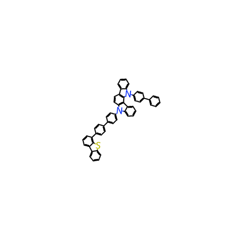 c1ccc(-c2ccc(-n3c4ccccc4c4ccc5c(c6ccccc6n5-c5ccc(-c6ccc(-c7cccc8c7sc7ccccc78)cc6)cc5)c43)cc2)cc1